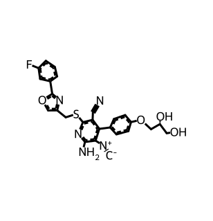 [C-]#[N+]c1c(N)nc(SCc2coc(-c3cccc(F)c3)n2)c(C#N)c1-c1ccc(OC[C@H](O)CO)cc1